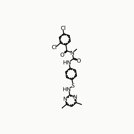 Cc1cc(C)nc(NSc2ccc(NC(=O)N(C)C(=O)c3ccc(Cl)cc3Cl)cc2)n1